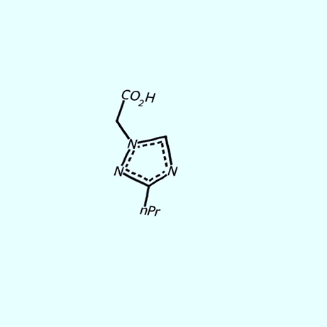 CCCc1ncn(CC(=O)O)n1